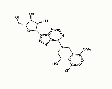 COc1ccc(Cl)cc1CN(CCO)c1ncnc2c1ncn2[C@@H]1O[C@H](CO)[C@@H](O)[C@H]1O